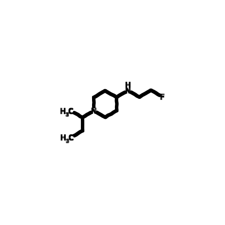 CCC(C)N1CCC(NCCF)CC1